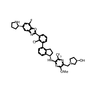 COc1nc(N[C@@H]2CCc3c(-c4cccc(-c5nc6cc([C@H]7CCCN7)cc(F)c6o5)c4Cl)cccc32)c(C(F)(F)F)nc1CN1CC[C@@H](O)C1